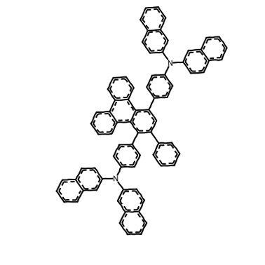 c1ccc(-c2cc(-c3ccc(N(c4ccc5ccccc5c4)c4ccc5ccccc5c4)cc3)c3c4ccccc4c4ccccc4c3c2-c2ccc(N(c3ccc4ccccc4c3)c3ccc4ccccc4c3)cc2)cc1